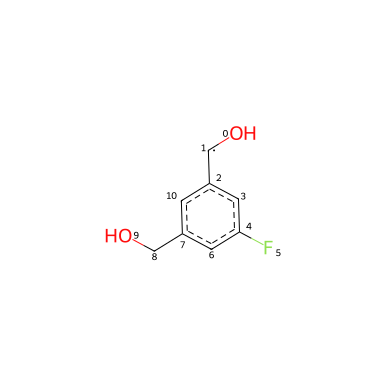 O[CH]c1cc(F)cc(CO)c1